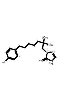 CC(C)(C)C(O)(CCCCCc1ccc(F)cc1)Cn1nc[nH]c1=S